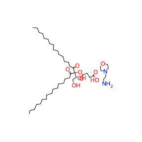 CCCCCCCCCCCCCCCC(=O)C(OC(=O)CCC(=O)O)(C(=O)CCCCCCCCCCCCCCC)C(O)CO.NCCN1CCOCC1